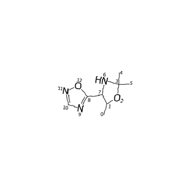 CC1OC(C)(C)NC1c1ncno1